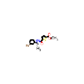 COC(=O)c1ccc(C(=O)NC(C)c2cccc(Br)c2)s1